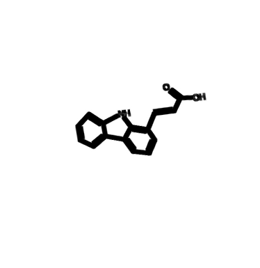 O=C(O)C=Cc1cccc2c1[nH]c1ccccc12